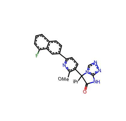 COc1nc(-c2ccc3cccc(F)c3c2)ccc1C1(C(C)C)C(=O)Nc2nncn21